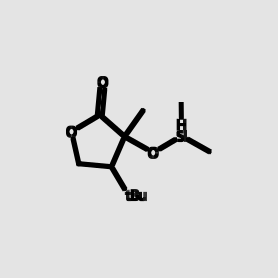 C[SiH](C)OC1(C)C(=O)OCC1C(C)(C)C